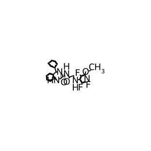 CCOc1nc(F)c(F)c(NCC(=O)N[C@H]2N=C(c3ccccc3)c3ccccc3NC2=O)c1F